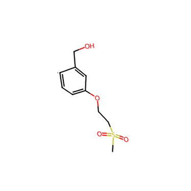 CS(=O)(=O)CCOc1cc[c]c(CO)c1